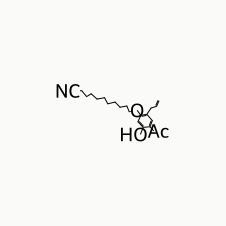 C=CCc1cc(C(C)=O)c(O)cc1OCCCCCCCCCCC#N